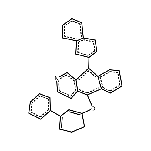 C1=C(Oc2c3ccccc3c(-c3ccc4ccccc4c3)c3cnccc23)CCC=C1c1ccccc1